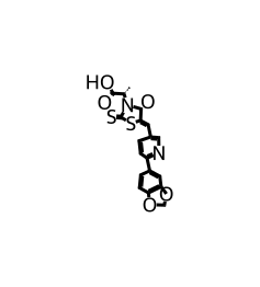 C[C@@H](C(=O)O)N1C(=O)/C(=C/c2ccc(-c3ccc4c(c3)OCO4)nc2)SC1=S